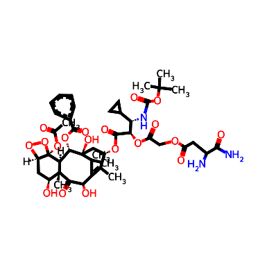 CC(=O)O[C@@]12OO[C@@H]1C[C@H](O)[C@@]1(C)C(=O)[C@H](O)C3=C(C)[C@@H](OC(=O)[C@H](OC(=O)COC(=O)CC(N)C(N)=O)[C@@H](NC(=O)OC(C)(C)C)C4CC4)C[C@@](O)([C@@H](OC(=O)c4ccccc4)[C@H]21)C3(C)C